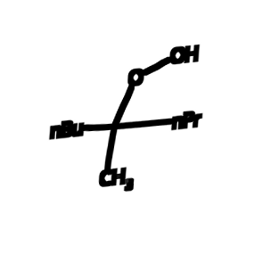 CCCCC(C)(CCC)OO